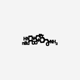 CCCCC1NCCN(C(CC(C)C)C(=O)N2CCC(CC(N)=O)CC2)C1=O